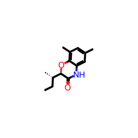 CC[C@H](C)[C@H]1Oc2c(C)cc(C)cc2NC1=O